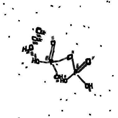 O.O=P(O)(O)OP(=O)(O)O.[Cu].[Cu]